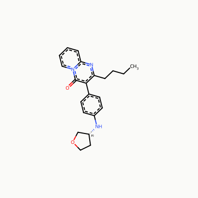 CCCCc1nc2ccccn2c(=O)c1-c1ccc(N[C@@H]2CCOC2)cc1